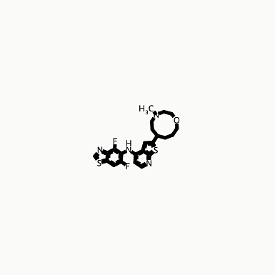 CN1CCOCCCC(c2cc3c(Nc4c(F)cc5scnc5c4F)ccnc3s2)CC1